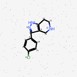 Clc1ccc(-c2n[nH]c3c2CNCC3)cc1